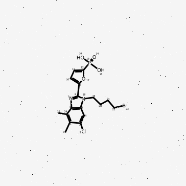 Cc1c(Cl)cc2c(nc(-c3ccc(P(=O)(O)O)o3)n2CCCCBr)c1C